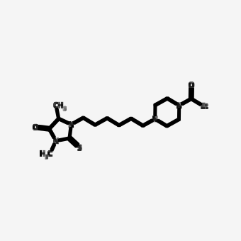 CCC(=O)N1CCN(CCCCCCN2C(=S)N(C)C(=O)C2C)CC1